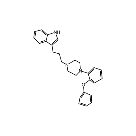 c1ccc(Oc2ccccc2N2CCN(CCCc3c[nH]c4ccccc34)CC2)cc1